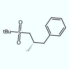 [CH2][C@@H](Cc1ccccc1)CS(=O)(=O)C(C)(C)C